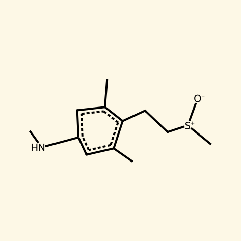 CNc1cc(C)c(CC[S+](C)[O-])c(C)c1